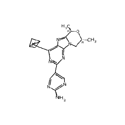 C[C@@H]1Cn2c(nc3c(N4CC5CC4C5)nc(-c4cnc(N)nc4)nc32)[C@@H](C)O1